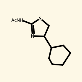 CC(=O)NC1=NC(C2CCCCC2)CS1